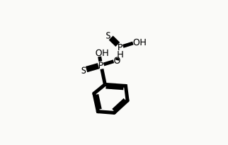 O[PH](=S)OP(O)(=S)c1ccccc1